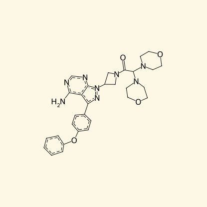 Nc1ncnc2c1c(-c1ccc(Oc3ccccc3)cc1)nn2C1CN(C(=O)C(N2CCOCC2)N2CCOCC2)C1